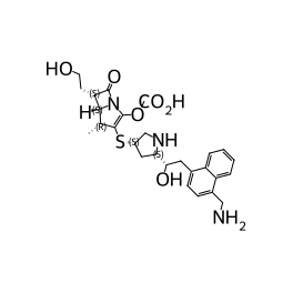 C[C@H]1C(S[C@@H]2CN[C@H](C(O)Cc3ccc(CN)c4ccccc34)C2)=C(OC(=O)O)N2C(=O)[C@@H](CCO)[C@@H]12